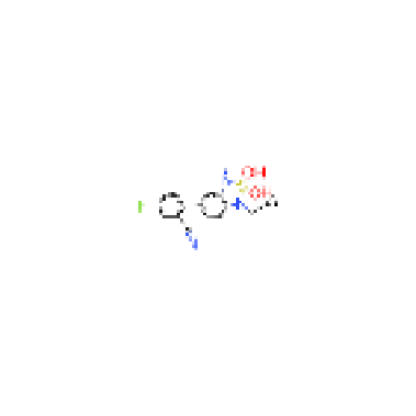 CN1c2cc(-c3ccc(F)cc3C#N)ccc2N(CC2CC2)S1(O)O